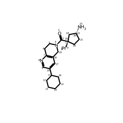 CC(C)[C@]1(C(=O)N2CCc3ncc(C4CCCCC4)cc3C2)CC[C@@H](N)C1